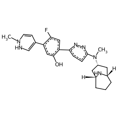 CN1C=CC(c2cc(O)c(-c3ccc(N(C)[C@H]4C[C@H]5CCC[C@@H](C4)N5)nn3)cc2F)=CN1